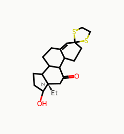 CC[C@]12CC(=O)C3C4CCC5(C=C4CCC3C1CCC2O)SCCS5